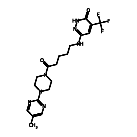 Cc1cnc(N2CCN(C(=O)CCCCNc3cc(C(F)(F)F)c(=O)[nH]n3)CC2)nc1